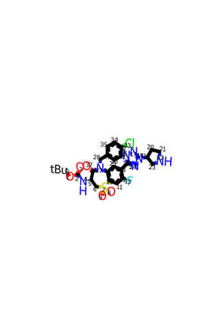 CC(C)(C)OC(=O)N[C@H]1CS(=O)(=O)c2cc(F)c(-c3nnn(C4CCNC4)n3)cc2N(Cc2ccc(Cl)cc2)C1=O